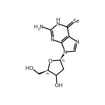 Nc1nc2c(ncn2[C@H]2CC(O)[C@@H](CO)O2)c(=[Se])[nH]1